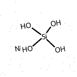 O[Si](O)(O)O.[N]